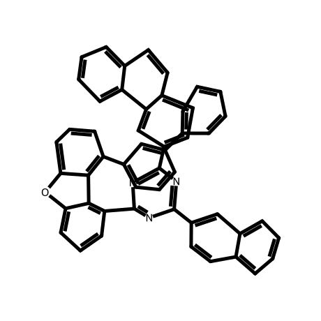 c1ccc(-c2cccc(-c3cccc4oc5cccc(-c6nc(-c7ccc8ccccc8c7)nc(-c7ccc8ccc9ccccc9c8c7)n6)c5c34)c2)cc1